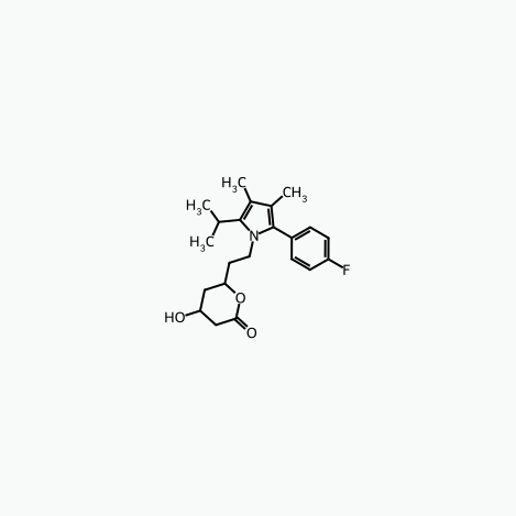 Cc1c(C)c(C(C)C)n(CCC2CC(O)CC(=O)O2)c1-c1ccc(F)cc1